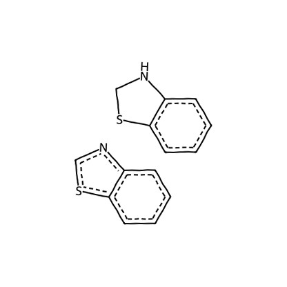 c1ccc2c(c1)NCS2.c1ccc2scnc2c1